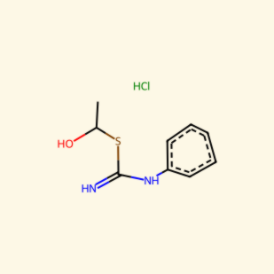 CC(O)SC(=N)Nc1ccccc1.Cl